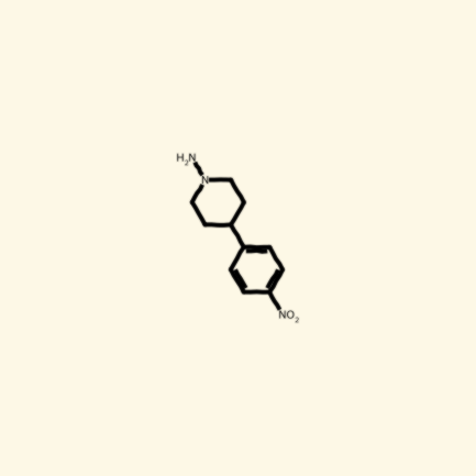 NN1CCC(c2ccc([N+](=O)[O-])cc2)CC1